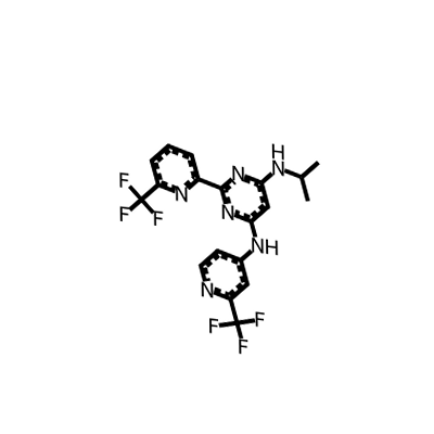 CC(C)Nc1cc(Nc2ccnc(C(F)(F)F)c2)nc(-c2cccc(C(F)(F)F)n2)n1